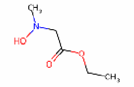 CCOC(=O)CN(C)O